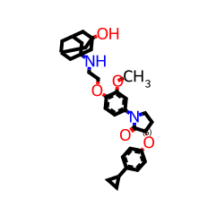 COc1cc(N2CC[C@H](Oc3ccc(C4CC4)cc3)C2=O)ccc1OCCNC12CC3CC(CC(O)(C3)C1)C2